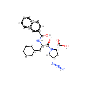 [N-]=[N+]=N[C@H]1C[C@@H](C(=O)O)N(C(=O)[C@@H](CC2CCCCC2)NC(=O)c2ccc3ccccc3c2)C1